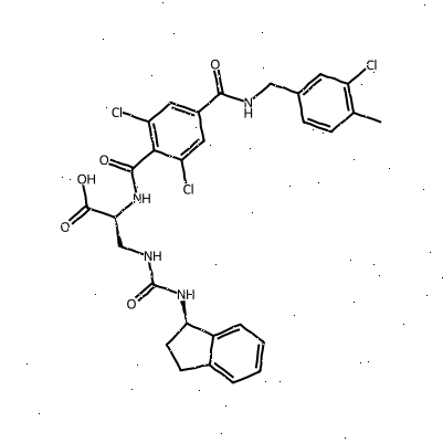 Cc1ccc(CNC(=O)c2cc(Cl)c(C(=O)N[C@@H](CNC(=O)N[C@@H]3CCc4ccccc43)C(=O)O)c(Cl)c2)cc1Cl